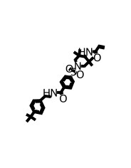 C=CC(=O)NC1C(C)(C)CN(S(=O)(=O)c2ccc(C(=O)NCCc3ccc(C(C)(C)C)cc3)cc2)CC1(C)C